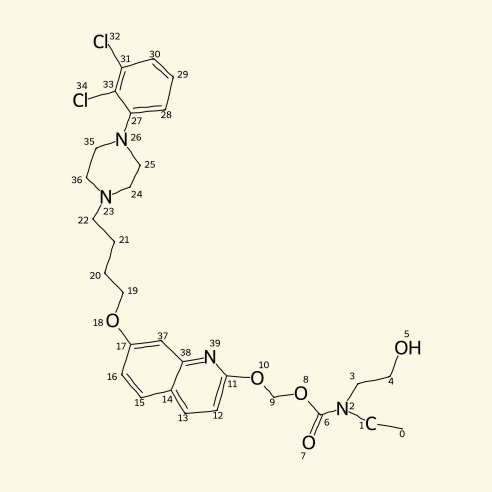 CCN(CCO)C(=O)OCOc1ccc2ccc(OCCCCN3CCN(c4cccc(Cl)c4Cl)CC3)cc2n1